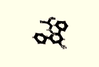 CCCCC(CC)CO[n+]1c(-c2ccccc2)cc(C)cc1-c1ccccc1